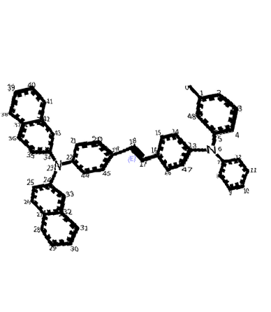 Cc1cccc(N(c2ccccc2)c2ccc(/C=C/c3ccc(N(c4ccc5ccccc5c4)c4ccc5ccccc5c4)cc3)cc2)c1